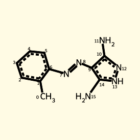 Cc1ccccc1N=Nc1c(N)n[nH]c1N